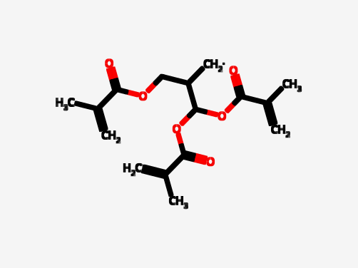 [CH2]C(COC(=O)C(=C)C)C(OC(=O)C(=C)C)OC(=O)C(=C)C